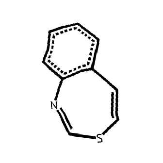 C1=Cc2ccccc2N=CS1